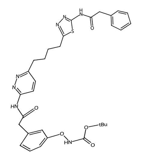 CC(C)(C)OC(=O)NOc1cccc(CC(=O)Nc2ccc(CCCCc3nnc(NC(=O)Cc4ccccc4)s3)nn2)c1